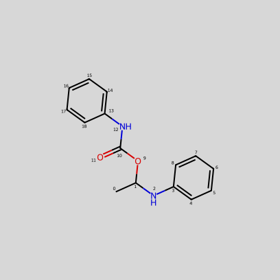 CC(Nc1ccccc1)OC(=O)Nc1ccccc1